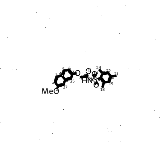 COc1ccc2ccc(OCC(=O)NS(=O)(=O)c3c(C)cc(C)cc3C)cc2c1